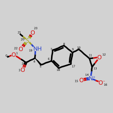 COC(=O)[C@H](Cc1ccc(CC2OC2[N+](=O)[O-])cc1)NS(C)(=O)=O